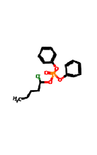 CCCCC(Cl)OP(=O)(Oc1ccccc1)Oc1ccccc1